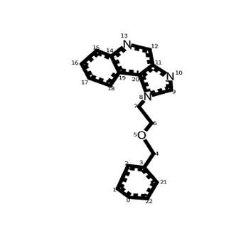 c1ccc(COCCn2cnc3cnc4ccccc4c32)cc1